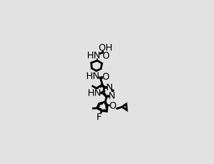 Cc1cc(-c2ncnc3c(C(=O)N[C@H]4CC[C@H](NC(=O)O)CC4)c(C)[nH]c23)c(OCC2CC2)cc1F